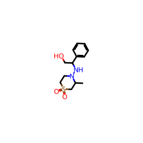 CC1CS(=O)(=O)CCN1NC(CO)c1ccccc1